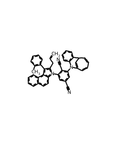 C=CCc1c(-c2ccccc2C)c2c3ccccc3ccc2n1-c1cc(C#N)cc(N2C3=CC(C=CC=C3)c3ccccc32)c1C#N